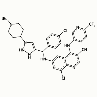 CC(C)(C)N1CCC(N2C=C([C@@H](Nc3cc(Cl)c4ncc(C#N)c(Nc5ccc(C(F)(F)F)nc5)c4c3)c3ccc(Cl)cc3)NN2)CC1